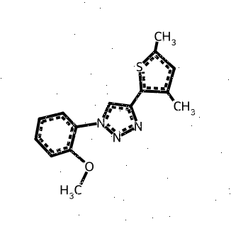 COc1ccccc1-n1cc(-c2sc(C)cc2C)nn1